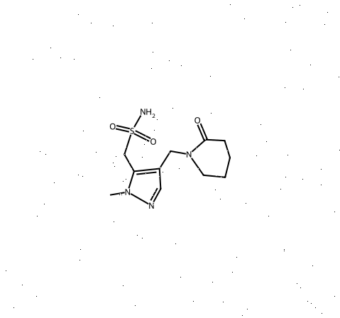 Cn1ncc(CN2CCCCC2=O)c1CS(N)(=O)=O